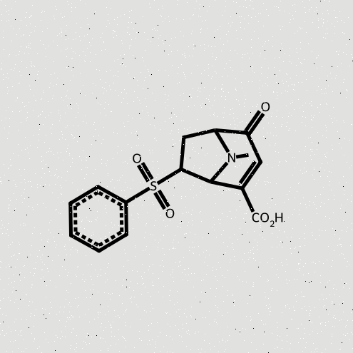 CN1C2CC(S(=O)(=O)c3ccccc3)C1C(C(=O)O)=CC2=O